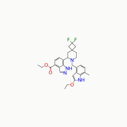 CCOC(=O)c1ccc(C2CC3(CCN2Cc2ccc(C)c4[nH]c(OCC)cc24)CC(F)(F)C3)c2[nH]ncc12